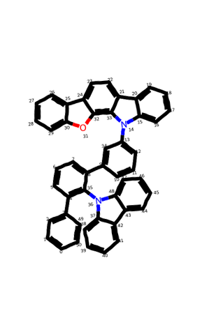 c1ccc(-c2cccc(-c3cccc(-n4c5ccccc5c5ccc6c7ccccc7oc6c54)c3)c2-n2c3ccccc3c3ccccc32)cc1